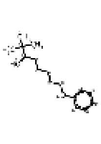 CC(C)(C)C(O)CCCCCOc1ccccc1